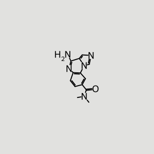 CN(C)C(=O)c1ccc2nc(N)c3cncn3c2c1